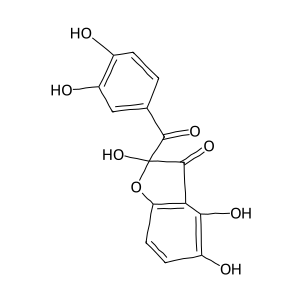 O=C(c1ccc(O)c(O)c1)C1(O)Oc2ccc(O)c(O)c2C1=O